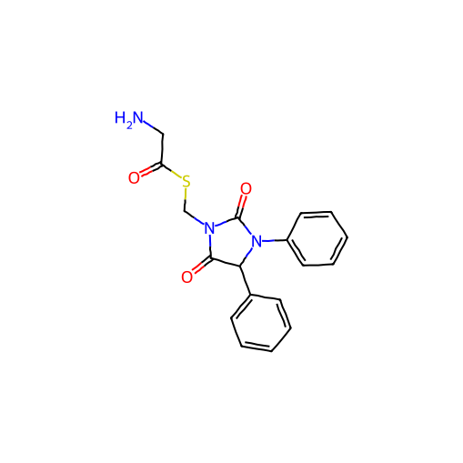 NCC(=O)SCN1C(=O)C(c2ccccc2)N(c2ccccc2)C1=O